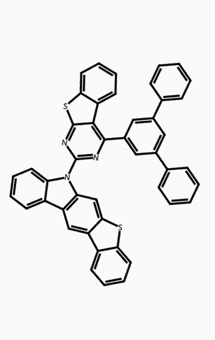 c1ccc(-c2cc(-c3ccccc3)cc(-c3nc(-n4c5ccccc5c5cc6c(cc54)sc4ccccc46)nc4sc5ccccc5c34)c2)cc1